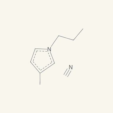 C#N.CCCn1ccc(C)c1